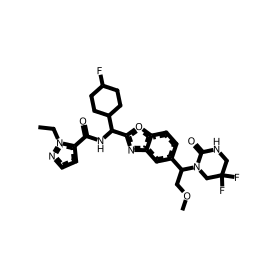 CCn1nccc1C(=O)NC(c1nc2cc(C(COC)N3CC(F)(F)CNC3=O)ccc2o1)C1CCC(F)CC1